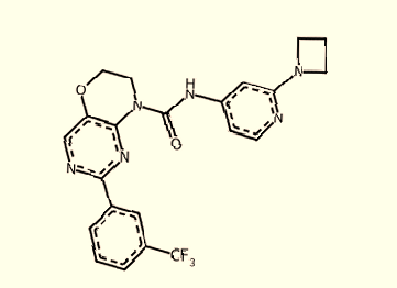 O=C(Nc1ccnc(N2CCC2)c1)N1CCOc2cnc(-c3cccc(C(F)(F)F)c3)nc21